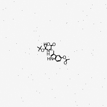 CC(=O)Oc1ccc2[nH]cc(C[C@H](NC(=O)OC(C)(C)C)C(=O)O)c2c1